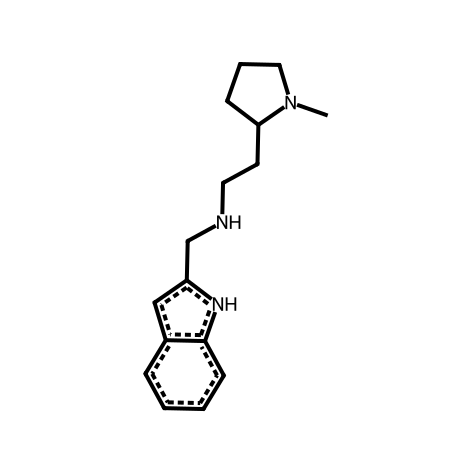 CN1CCCC1CCNCc1cc2ccccc2[nH]1